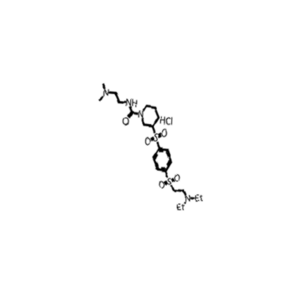 CCN(CC)CCS(=O)(=O)c1ccc(S(=O)(=O)C2CCCN(C(=O)NCCN(C)C)C2)cc1.Cl